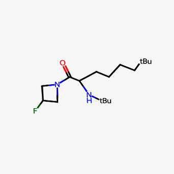 CC(C)(C)CCCCC(NC(C)(C)C)C(=O)N1CC(F)C1